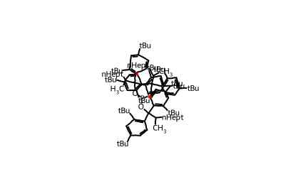 CCCCCCCC(C)C(OP(OC(c1ccc(C(C)(C)C)cc1C(C)(C)C)(c1ccc(C(C)(C)C)cc1C(C)(C)C)C(C)CCCCCCC)OC(c1ccc(C(C)(C)C)cc1C(C)(C)C)(c1ccc(C(C)(C)C)cc1C(C)(C)C)C(C)CCCCCCC)(c1ccc(C(C)(C)C)cc1C(C)(C)C)c1ccc(C(C)(C)C)cc1C(C)(C)C